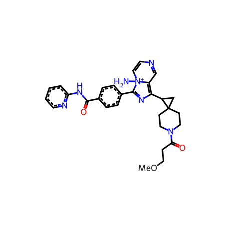 COCCC(=O)N1CCC2(CC1)CC2C1=C2C=NC=C[N+]2(N)C(c2ccc(C(=O)Nc3ccccn3)cc2)=N1